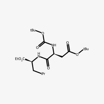 CCOC(=O)[C@H](CC(C)C)NC(=O)[C@H](CC(=O)OC(C)(C)C)NC(=O)OC(C)(C)C